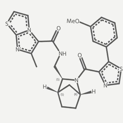 COc1cccc(-c2scnc2C(=O)N2[C@@H]3CC[C@@H](C3)[C@H]2CNC(=O)c2c(C)nc3sccn23)c1